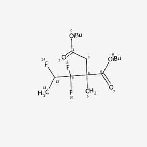 CC(C)COC(=O)CC(C)(C(=O)OCC(C)C)C(F)(F)C(C)F